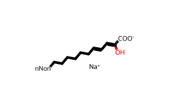 CCCCCCCCCCCCCCCC=CC=C(O)C(=O)[O-].[Na+]